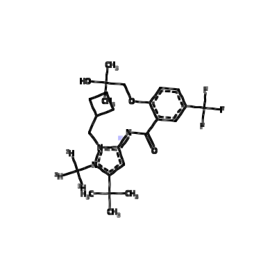 [3H]C([3H])([3H])n1c(C(C)(C)C)c/c(=N\C(=O)c2cc(C(F)(F)F)ccc2OCC(C)(C)O)n1CC1CCC1